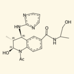 CC(=O)N1c2ccc(C(=O)NC(C)CO)cc2[C@H](Nc2ncccn2)[C@@H](C)[C@@H]1O